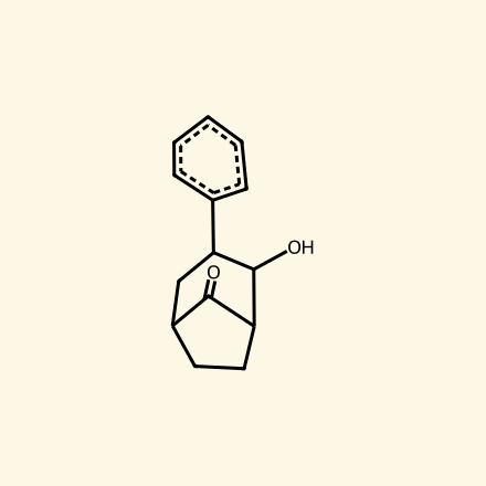 O=C1C2CCC1C(O)C(c1ccccc1)C2